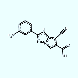 N#Cc1c(C(=O)O)cn2nc(-c3cccc(N)c3)[nH]c12